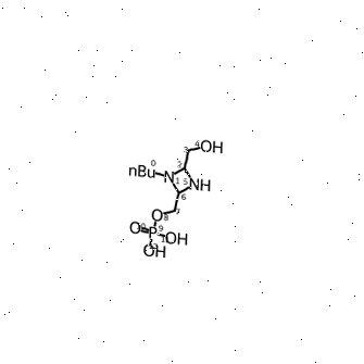 CCCCN1C(CO)NC1COP(=O)(O)O